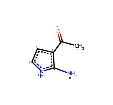 CC(=O)c1cc[nH]c1N